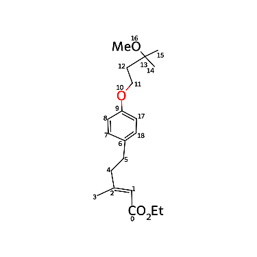 CCOC(=O)C=C(C)CCc1ccc(OCCC(C)(C)OC)cc1